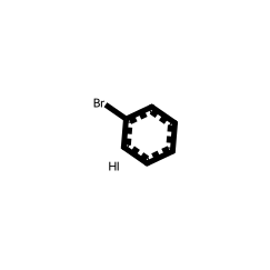 Brc1ccccc1.I